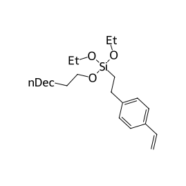 C=Cc1ccc(CC[Si](OCC)(OCC)OCCCCCCCCCCCC)cc1